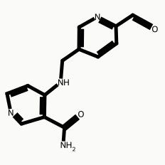 NC(=O)c1cnccc1NCc1ccc(C=O)nc1